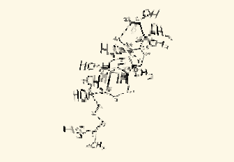 CC(C)=CCCC(C)(O)C1CC[C@]2(C)C1[C@H](O)CC1[C@@]3(C)CC[C@H](O)C(C)(C)C3CC[C@]12C